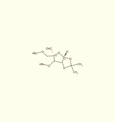 CCCCOC[C@@]1(C=O)O[C@@H]2OC(C)(C)OC2C1OCCCC